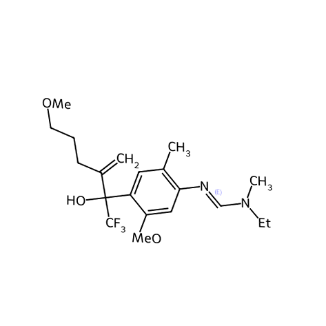 C=C(CCCOC)C(O)(c1cc(C)c(/N=C/N(C)CC)cc1OC)C(F)(F)F